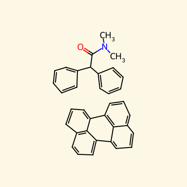 CN(C)C(=O)C(c1ccccc1)c1ccccc1.c1cc2cccc3c4cccc5cccc(c(c1)c23)c54